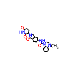 CN1CCN(C(=O)Nc2ccc3c(c2)CN(C2CCC(=O)NC2=O)C3=O)c2ccccc21